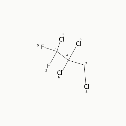 FC(F)(Cl)C(Cl)(Cl)CCl